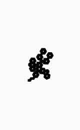 CCCCc1ccc(N2B3c4cccc5c4N(c4ccccc4C5(C)C)c4cc(N(c5cccc(-c6ccccc6)c5)c5cccc(-c6ccccc6)c5)cc(c43)-c3cc4c(cc32)-c2ccccc2C4(C)C)cc1